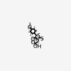 COc1ccc(C2SC(=S)N(CC(=O)O)C2=O)cc1